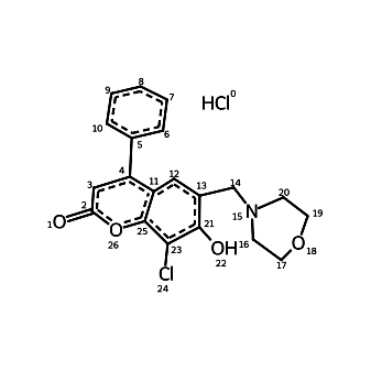 Cl.O=c1cc(-c2ccccc2)c2cc(CN3CCOCC3)c(O)c(Cl)c2o1